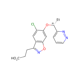 CC[C@@H](Oc1cc2onc(CCC(=O)O)c2cc1Cl)c1cccnn1